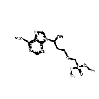 CCCC(CCOCP(=O)(OC(C)C)OC(C)C)n1cnc2c(NC)ncnc21